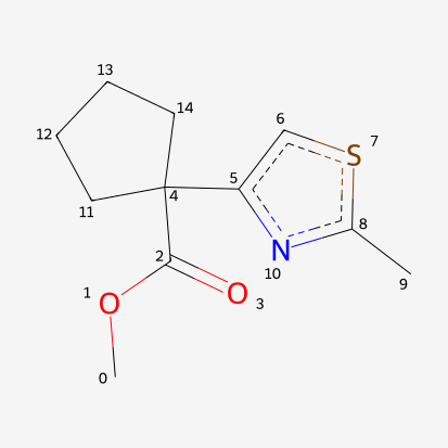 COC(=O)C1(c2csc(C)n2)CCCC1